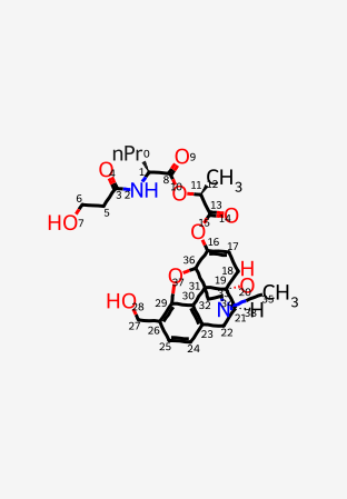 CCC[C@H](NC(=O)CCO)C(=O)O[C@@H](C)C(=O)OC1=CC[C@@]2(O)[C@H]3Cc4ccc(CO)c5c4C2(CCN3C)C1O5